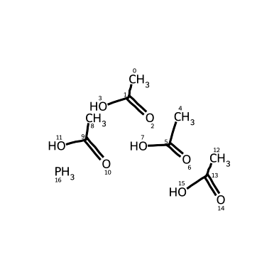 CC(=O)O.CC(=O)O.CC(=O)O.CC(=O)O.P